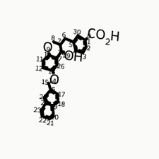 O=C(O)c1cccc(CC2COc3ccc(OCc4ccc5ccccc5c4)cc3C2O)c1